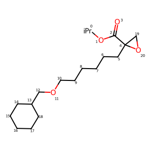 CC(C)OC(=O)C1(CCCCCCOCC2CCCCC2)CO1